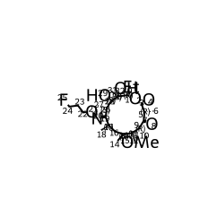 CC[C@H]1OC(=O)[C@H](C)C(=O)[C@H](C)[C@@H](C)[C@](C)(OC)C[C@@H](C)C(=NOCCCF)[C@H](C)[C@H](O)[C@]1(C)O